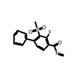 C=NC(=O)c1ccc(-c2ccccc2)c(S(C)(=O)=O)c1F